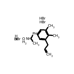 Br.Br.Br.Br.C=CCc1cccc(C)c1C.CCP.N.O